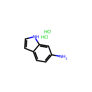 Cl.Cl.Nc1ccc2cc[nH]c2c1